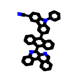 N#Cc1ccc2c(c1)c1cc(-c3c4ccccc4c(-c4nc5ccccc5c5c4ncc4ccccc45)c4ccccc34)ccc1n2-c1ccccc1